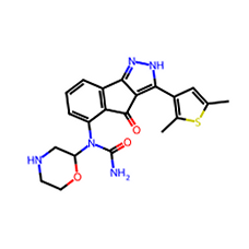 Cc1cc(-c2[nH]nc3c2C(=O)c2c-3cccc2N(C(N)=O)C2CNCCO2)c(C)s1